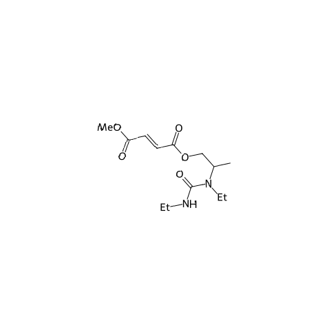 CCNC(=O)N(CC)C(C)COC(=O)/C=C/C(=O)OC